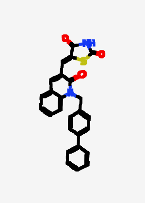 O=C1NC(=O)C(=Cc2cc3ccccc3n(Cc3ccc(-c4ccccc4)cc3)c2=O)S1